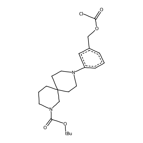 CC(C)(C)OC(=O)N1CCCC2(CCN(c3cccc(COC(=O)Cl)c3)CC2)C1